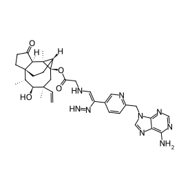 C=C[C@]1(C)C[C@@]2(OC(=O)CN/C=C(\N=N)c3ccc(Cn4cnc5c(N)ncnc54)nc3)[C@@H]3CC[C@]4(CCC(=O)[C@H]4[C@@]32C)[C@@H](C)[C@@H]1O